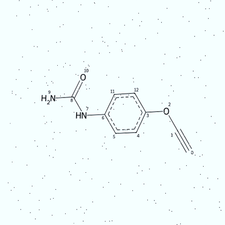 C#COc1ccc(NC(N)=O)cc1